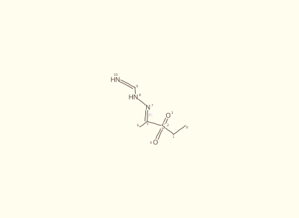 CCS(=O)(=O)/C(C)=N/NC=N